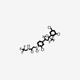 O=C(C[S+]([O-])c1ccc(C2=NO[C@@](c3cc(Cl)cc(Cl)c3)(C(F)(F)F)C2)cc1Cl)NCC(F)(F)F